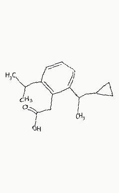 CC(C)c1cccc(C(C)C2CC2)c1CC(=O)O